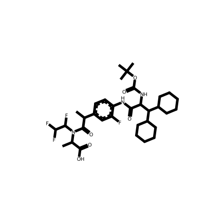 CC(C(=O)N(C(C)C(=O)O)C(F)C(F)F)c1ccc(NC(=O)C(NC(=O)OC(C)(C)C)C(C2CCCCC2)C2CCCCC2)c(F)c1